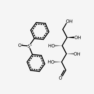 O=C[C@H](O)[C@@H](O)[C@H](O)[C@H](O)CO.[O-][S+](c1ccccc1)c1ccccc1